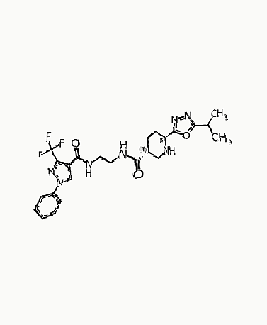 CC(C)c1nnc([C@@H]2CC[C@@H](C(=O)NCCNC(=O)c3cn(-c4ccccc4)nc3C(F)(F)F)CN2)o1